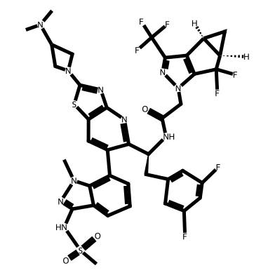 CN(C)C1CN(c2nc3nc([C@H](Cc4cc(F)cc(F)c4)NC(=O)Cn4nc(C(F)(F)F)c5c4C(F)(F)[C@@H]4C[C@H]54)c(-c4cccc5c(NS(C)(=O)=O)nn(C)c45)cc3s2)C1